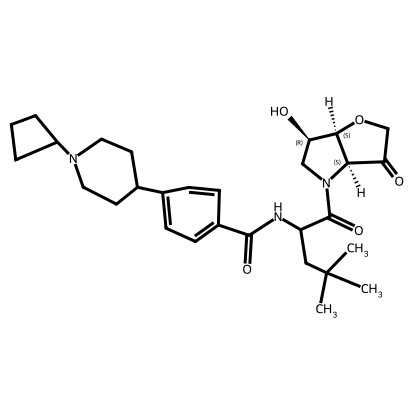 CC(C)(C)CC(NC(=O)c1ccc(C2CCN(C3CCC3)CC2)cc1)C(=O)N1C[C@@H](O)[C@H]2OCC(=O)[C@H]21